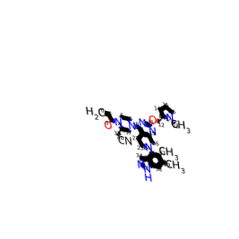 C=CC(=O)N1CCN(c2nc(OC[C@@H]3CCCN3C)nc3c2CCN(c2c(C)c(C)cc4[nH]ncc24)C3)C[C@@H]1CC#N